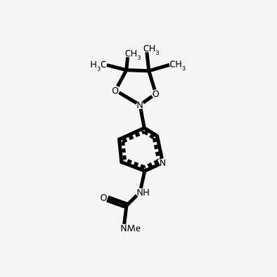 CNC(=O)Nc1ccc(N2OC(C)(C)C(C)(C)O2)cn1